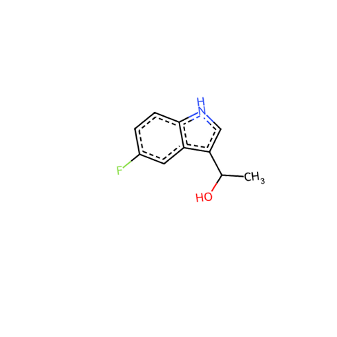 CC(O)c1c[nH]c2ccc(F)cc12